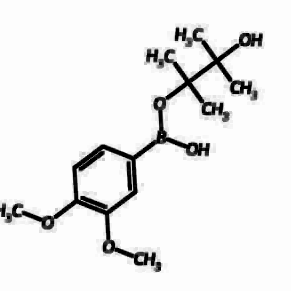 COc1ccc(B(O)OC(C)(C)C(C)(C)O)cc1OC